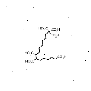 O=C(O)CCCCCC(C(=O)O)C(CCCCCCC(C(=O)O)(C(=O)O)C(=O)O)C(=O)O